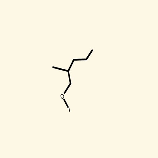 CCCC(C)COI